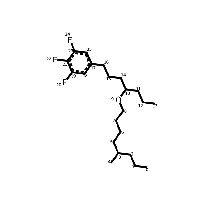 CCCC(C)CCCCOC(CCC)CCCc1cc(F)c(F)c(F)c1